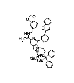 C=C(NCc1ccc2c(c1)OCO2)c1cc2c(c(-c3cccc(-c4cc5ccccc5o4)c3)n1)[C@@H](CCO[Si](c1ccccc1)(c1ccccc1)C(C)(C)C)N([S@+]([O-])C(C)(C)C)C2